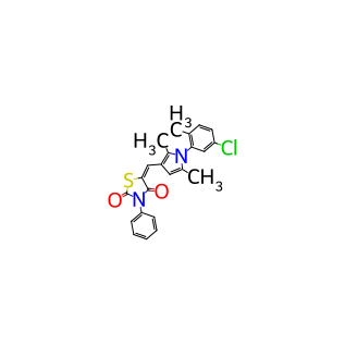 Cc1ccc(Cl)cc1-n1c(C)cc(/C=C2/SC(=O)N(c3ccccc3)C2=O)c1C